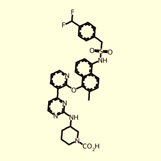 Cc1ccc2c(NS(=O)(=O)Cc3ccc(C(F)F)cc3)cccc2c1Oc1ncccc1-c1ccnc(NC2CCCN(C(=O)O)C2)n1